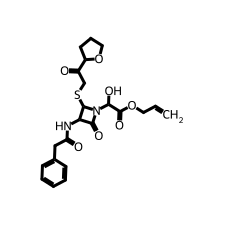 C=CCOC(=O)C(O)N1C(=O)C(NC(=O)Cc2ccccc2)C1SCC(=O)C1CCCO1